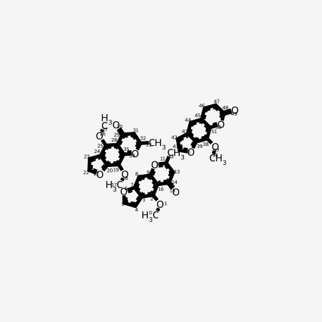 COc1c2ccoc2cc2oc(C)cc(=O)c12.COc1c2occc2c(OC)c2c(=O)cc(C)oc12.COc1c2occc2cc2ccc(=O)oc12